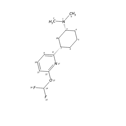 CN(C)[C@@H]1CCC[C@H](c2cccc(OC(F)F)n2)C1